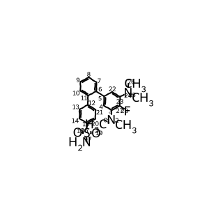 CN(C)c1cc(-c2ccccc2-c2ccc(S(N)(=O)=O)cc2)cc(N(C)C)c1F